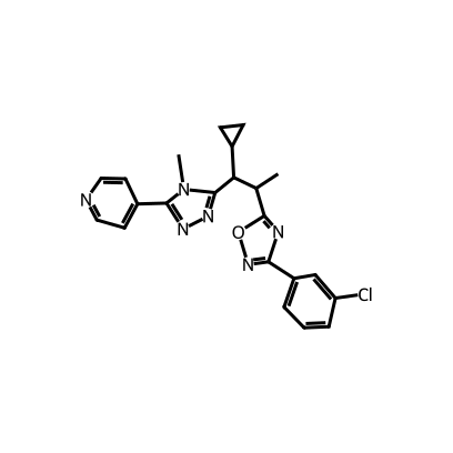 CC(c1nc(-c2cccc(Cl)c2)no1)C(c1nnc(-c2ccncc2)n1C)C1CC1